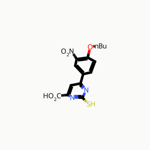 CCCCOc1ccc(-c2cc(C(=O)O)nc(S)n2)cc1[N+](=O)[O-]